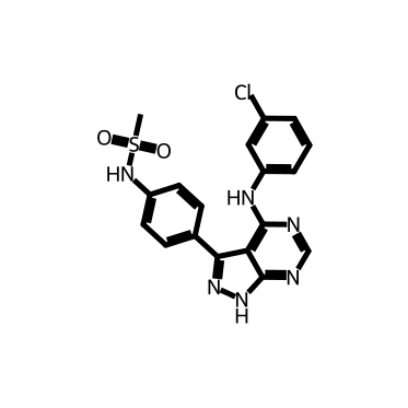 CS(=O)(=O)Nc1ccc(-c2n[nH]c3ncnc(Nc4cccc(Cl)c4)c23)cc1